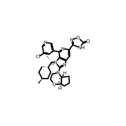 C[C@@H]([C@H]1CC[C@H](C)CC1)n1c(N2CCO[C@@H]3CCC[C@H]32)nc2cc(-c3noc(=O)[nH]3)nc(-c3cncc(Cl)c3)c21